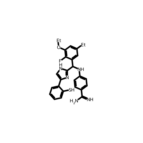 CCOc1cc(CC)cc(C(Nc2ccc(C(=N)N)cc2)c2nc(-c3ccccc3S)c[nH]2)c1F